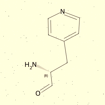 N[C@@H](C=O)Cc1ccncc1